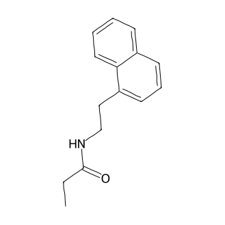 CCC(=O)NCCc1cccc2ccccc12